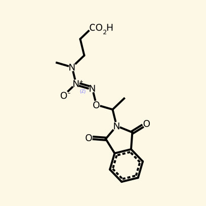 CC(O/N=[N+](\[O-])N(C)CCC(=O)O)N1C(=O)c2ccccc2C1=O